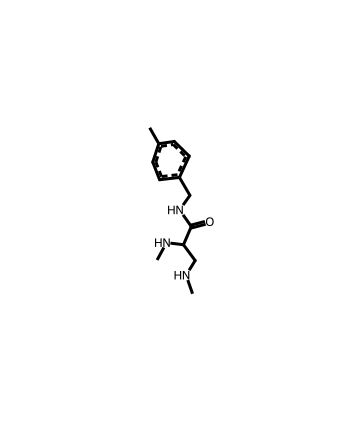 CNCC(NC)C(=O)NCc1ccc(C)cc1